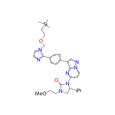 COCCN1CC(C(C)C)N(c2ccn3ncc(-c4ccc(-c5nccn5COCC[Si](C)(C)C)cc4)c3n2)C1=O